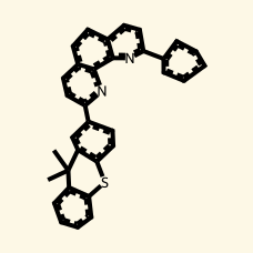 CC1(C)c2ccccc2Sc2ccc(-c3ccc4ccc5ccc(-c6ccccc6)nc5c4n3)cc21